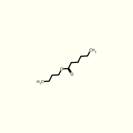 CCC[CH]CC(=O)OCCCC